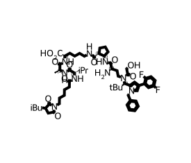 CCC(C)C1CC(=O)N(CCCCCC(=O)N[C@H](C(=O)N[C@@H](C)C(=O)N[C@@H](CCCCNC(=O)[C@@H]2CCC[C@@H]2NC(=O)[C@@H](N)CCN(C(=O)CO)[C@@H](c2cc(-c3cc(F)ccc3F)cn2Cc2ccccc2)C(C)(C)C)C(=O)O)C(C)C)C1=O